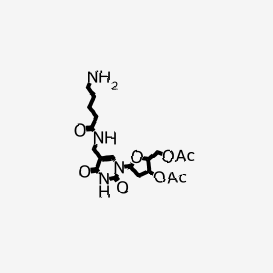 CC(=O)OCC1OC(n2cc(CNC(=O)CCCCN)c(=O)[nH]c2=O)CC1OC(C)=O